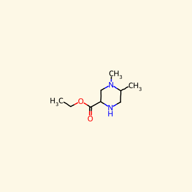 CCOC(=O)C1CN(C)C(C)CN1